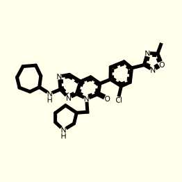 Cc1nc(-c2ccc(-c3cc4cnc(NC5CCCCCC5)nc4n(CC4CCCNC4)c3=O)c(Cl)c2)no1